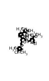 COC(=O)c1cc(Cl)nc(CNC(=O)c2[nH]c3c(-c4c(C)nn(C)c4C)cccc3c2CCCOc2cc(C)c(Cl)c(C)c2)c1